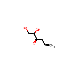 C=CCC(=O)C(O)CO